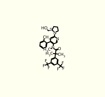 Cc1ccccc1-c1cc(N2CCC[C@@H]2CO)ncc1N(C)C(=O)C(C)(C)c1cc(C(F)(F)F)cc(C(F)(F)F)c1